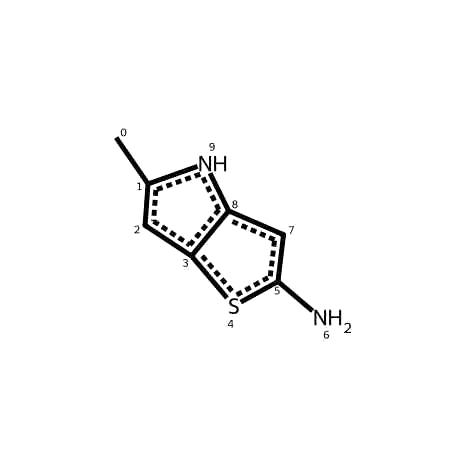 Cc1cc2sc(N)cc2[nH]1